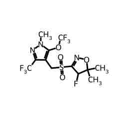 Cn1nc(C(F)(F)F)c(CS(=O)(=O)C2=NOC(C)(C)C2F)c1OC(F)(F)F